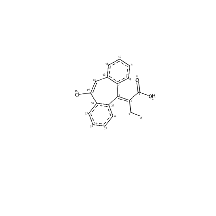 CCC(C(=O)O)=C1c2ccccc2C=C(Cl)c2ccccc21